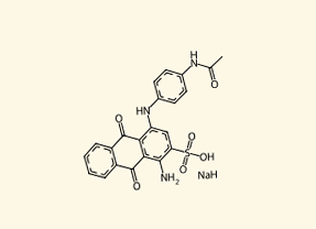 CC(=O)Nc1ccc(Nc2cc(S(=O)(=O)O)c(N)c3c2C(=O)c2ccccc2C3=O)cc1.[NaH]